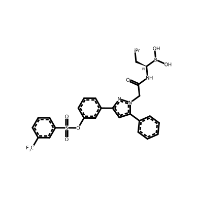 CC(C)C[C@H](NC(=O)Cn1nc(-c2cccc(OS(=O)(=O)c3cccc(C(F)(F)F)c3)c2)cc1-c1ccccc1)B(O)O